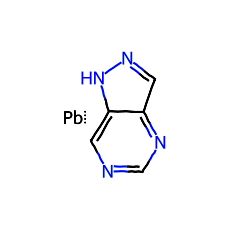 [Pb].c1ncc2[nH]ncc2n1